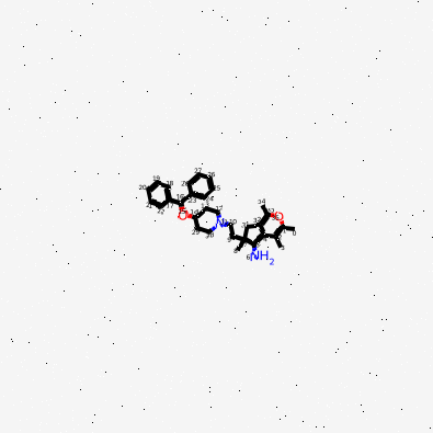 CC1=C(C)C2=C(N)C(C)(CCN3CCC(OC(c4ccccc4)c4ccccc4)CC3)CC2=C(C)O1